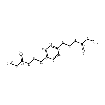 O=C(CCl)CCCc1ccc(CCCC(=O)CCl)cc1